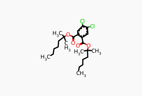 CCCCCC(C)(C)OC(=O)c1cc(Cl)c(Cl)cc1C(=O)OC(C)(C)CCCCC